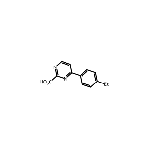 CCc1ccc(-c2ccnc(C(=O)O)n2)cc1